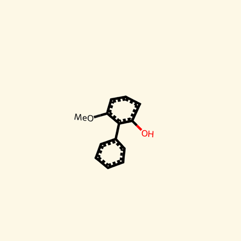 COc1cccc(O)c1-c1ccccc1